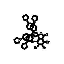 O=C1OC(C=C(c2ccc(N3CCCC3)cc2)c2ccc(N3CCCC3)cc2)(C=C(c2ccc(N3CCCC3)cc2)c2ccc(N3CCCC3)cc2)c2c(Br)c(Br)c(Br)c(Br)c21